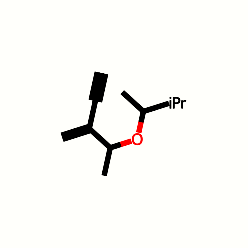 C#CC(=C)C(C)OC(C)C([CH2])C